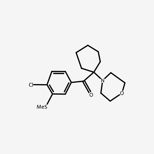 CSc1cc(C(=O)C2(N3CCOCC3)CCCCC2)ccc1Cl